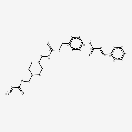 C=CC(=O)OCC1CCC(COC(=O)CCc2ccc(OC(=O)/C=C/c3ccccc3)cc2)CC1